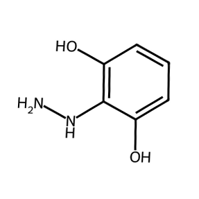 NNc1c(O)cccc1O